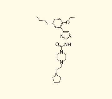 CCCCc1ccc(OCC)c(-c2csc(NC(=O)N3CCN(CCN4CCCC4)CC3)n2)c1